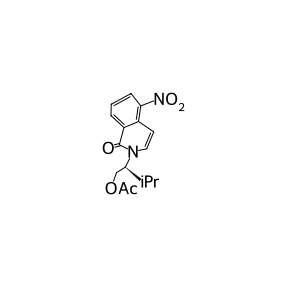 CC(=O)OC[C@H](C(C)C)n1ccc2c([N+](=O)[O-])cccc2c1=O